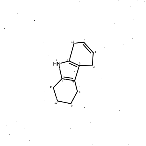 C1=CCc2c([nH]c3c2CCCC3)C1